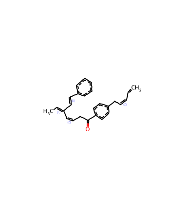 C=C/C=C\Cc1ccc(C(=O)C\C=C/C(/C=C/c2ccccc2)=C\C)cc1